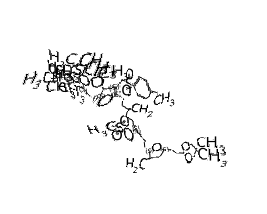 C=C(CC[C@@H](CC[C@@H]1O[C@@H](CCC2OCC(C)(C)CO2)CC1=C)OS(C)(=O)=O)CC[C@@H]1O[C@H](C[C@@H](CO[Si](C)(C)C(C)(C)C)O[Si](C)(C)C(C)(C)C)C(OC)[C@H]1CS(=O)(=O)c1ccc(CC)cc1